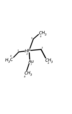 CC[PH](CC)(CC)[Au][CH3]